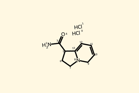 Cl.Cl.NC(=O)C1CCN2CC=CC=C12